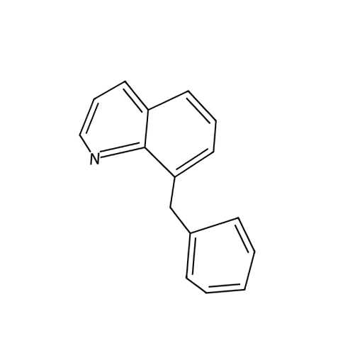 c1ccc(Cc2cccc3cccnc23)cc1